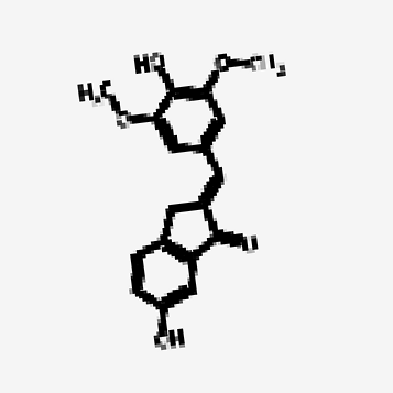 COc1cc(/C=C2\Cc3ccc(O)cc3C2=O)cc(OC)c1O